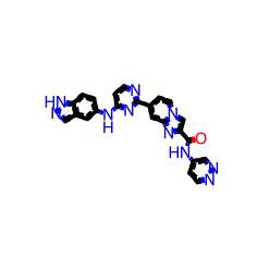 O=C(Nc1ccnnc1)c1cn2ccc(-c3nccc(Nc4ccc5[nH]ncc5c4)n3)cc2n1